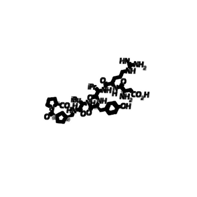 CCC(C)C(NC(=O)[C@H](Cc1ccc(O)cc1)NC(=O)C(NC(=O)C(CCCNC(=N)N)NC(=O)[C@@H](N)CC(=O)O)C(C)C)C(=O)NC[C@H]1CC[C@H](C(=O)N2CCC[C@H]2C(=O)O)C1